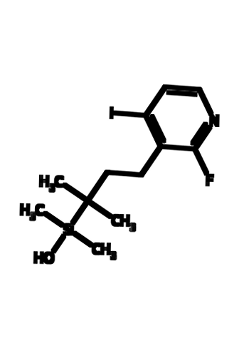 CC(C)(CCc1c(I)ccnc1F)[Si](C)(C)O